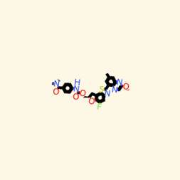 COc1cnc2c(-c3nc4cc(F)c5c(c4s3)C[C@H](COC(=O)Nc3ccc(C(=O)N(C)C)cc3)O5)cc(C)cc2n1